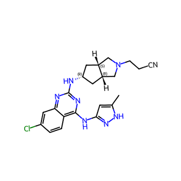 Cc1cc(Nc2nc(N[C@@H]3C[C@@H]4CN(CCC#N)C[C@@H]4C3)nc3cc(Cl)ccc23)n[nH]1